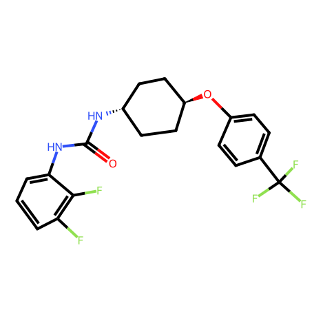 O=C(Nc1cccc(F)c1F)N[C@H]1CC[C@H](Oc2ccc(C(F)(F)F)cc2)CC1